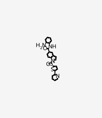 Nc1ccccc1NC(=O)c1ccc2c(ccn2[S+]([O-])c2ccc(-c3ccccn3)s2)c1